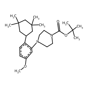 COc1ccc(C2CC(C)(C)CC(C)(C)C2)c(N2CCN(C(=O)OC(C)(C)C)CC2)c1